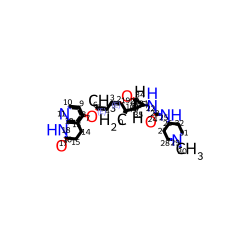 C=C1/C(=C\C=C(/C)Oc2ccnc3c2CCC(=O)N3)O[C@@H]2[C@@H](NC(=O)NC3CCN(C)CC3)[C@H]12